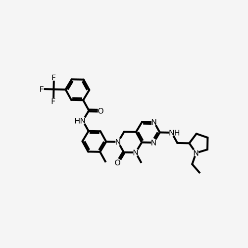 CCN1CCCC1CNc1ncc2c(n1)N(C)C(=O)N(c1cc(NC(=O)c3cccc(C(F)(F)F)c3)ccc1C)C2